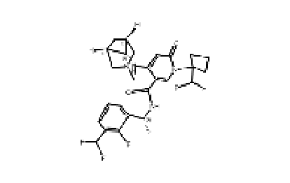 C[C@@H](NC(=O)c1cn(C2(C(F)F)CCC2)c(=O)cc1N[C@H]1[C@@H]2C[C@H]1CN(C)C2)c1cccc(C(F)F)c1F